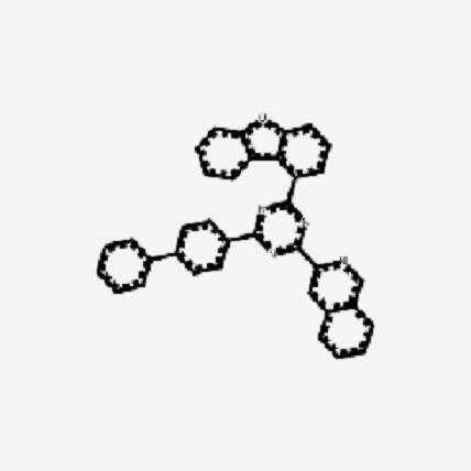 c1ccc(-c2ccc(-c3nc(-c4cc5ccccc5cn4)nc(-c4cccc5oc6ccccc6c45)n3)cc2)cc1